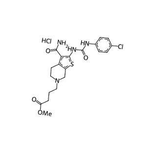 COC(=O)CCCN1CCc2c(sc(NC(=O)Nc3ccc(Cl)cc3)c2C(N)=O)C1.Cl